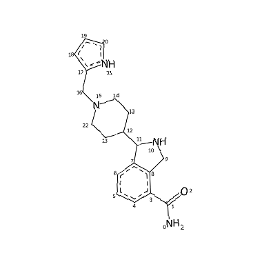 NC(=O)c1cccc2c1CNC2C1CCN(Cc2ccc[nH]2)CC1